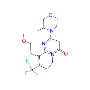 COCCN1c2nc(N3CCOCC3C)cc(=O)n2CCC1C(F)(F)F